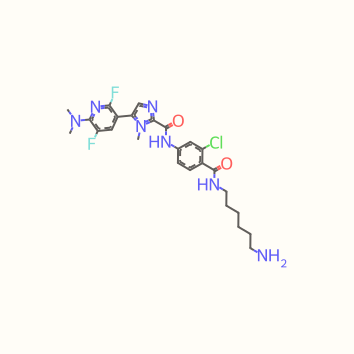 CN(C)c1nc(F)c(-c2cnc(C(=O)Nc3ccc(C(=O)NCCCCCCN)c(Cl)c3)n2C)cc1F